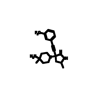 CC1CC(C#Cc2cccc(C(F)(F)F)c2)(N2CCC(C)(N)CC2)NN1